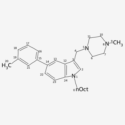 CCCCCCCCn1cc(CN2CCN(C)CC2)c2cc(-c3cccc(C)c3)ccc21